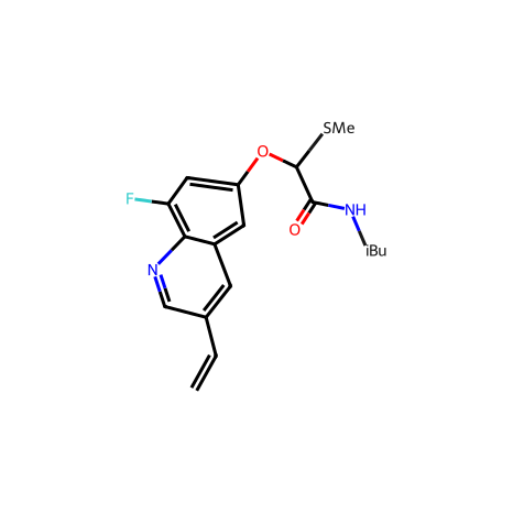 C=Cc1cnc2c(F)cc(OC(SC)C(=O)NC(C)CC)cc2c1